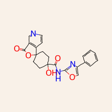 O=C1OC2(CCC(O)(C(=O)Nc3nc(-c4ccccc4)co3)CC2)c2ccncc21